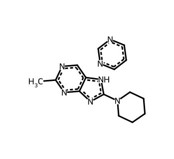 Cc1ncc2[nH]c(N3CCCCC3)nc2n1.c1cncnc1